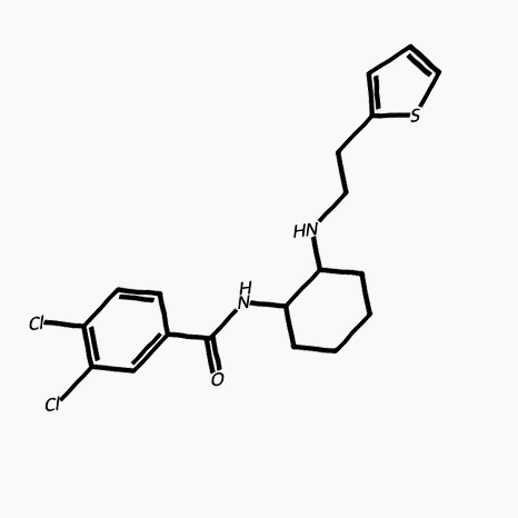 O=C(NC1CCCCC1NCCc1cccs1)c1ccc(Cl)c(Cl)c1